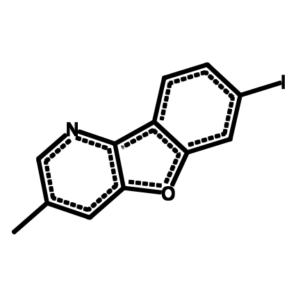 Cc1cnc2c(c1)oc1cc(I)ccc12